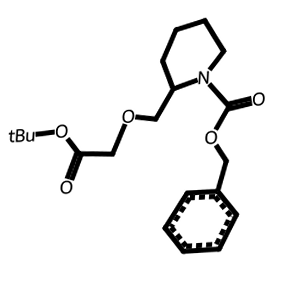 CC(C)(C)OC(=O)COCC1CCCCN1C(=O)OCc1ccccc1